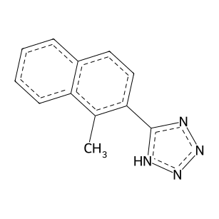 Cc1c(-c2nnn[nH]2)ccc2ccccc12